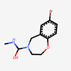 CNC(O)N1CCOc2ccc(Br)cc2C1